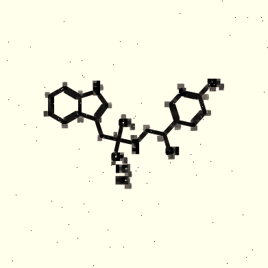 CC(C)(Cc1c[nH]c2ccccc12)NCC(O)c1ccc(N)nc1.Cl.Cl